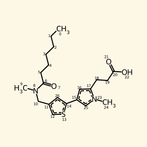 CCCCCCC(=O)N(C)Cc1csc(-c2cc(CCC(=O)O)n(C)c2)c1